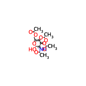 CC(=O)N[C@@H]1C(O)O[C@@H](COC(C)=O)[C@@H](OC(C)=O)[C@H]1OC(C)=O